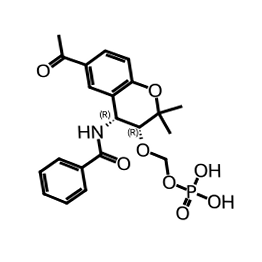 CC(=O)c1ccc2c(c1)[C@@H](NC(=O)c1ccccc1)[C@@H](OCOP(=O)(O)O)C(C)(C)O2